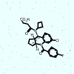 O=C(O)CCC(=O)N(C1CCC1)[C@H]1c2ccc(Cl)cc2N(C(=O)c2ccc(F)cc2)[C@@H]2CCC[C@@H]21